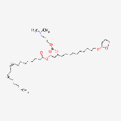 CCCCC/C=C\C/C=C\CCCCCCCC(=O)OCCC(CCCCCCCCCCOC1CCCCO1)OC(=O)OCCCN(C)C